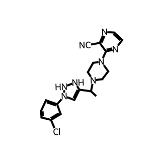 CC(C1=CN(c2cccc(Cl)c2)NN1)N1CCN(c2nccnc2C#N)CC1